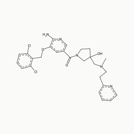 CN(CCc1ccccn1)CC1(O)CCN(C(=O)c2cnc(N)c(OCc3c(Cl)cccc3Cl)c2)C1